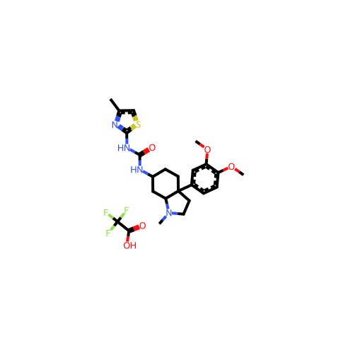 COc1ccc(C23CCC(NC(=O)Nc4nc(C)cs4)CC2N(C)CC3)cc1OC.O=C(O)C(F)(F)F